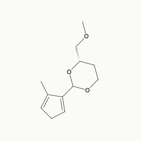 COC[C@@H]1CCOC(C2=CCC=C2C)O1